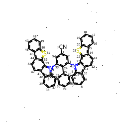 N#Cc1cc(-n2c3ccccc3c3ccc4c5ccccc5sc4c32)c(-c2c(C(F)(F)F)cccc2C(F)(F)F)c(-n2c3ccccc3c3ccc4c5ccccc5sc4c32)c1